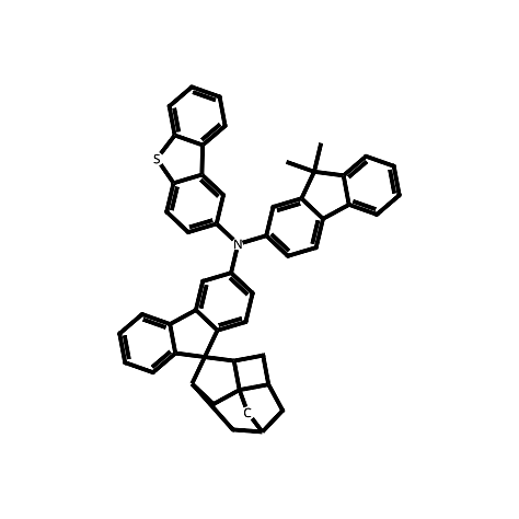 CC1(C)c2ccccc2-c2ccc(N(c3ccc4c(c3)-c3ccccc3C43C4CC5CC6CC3C6(C5)C4)c3ccc4sc5ccccc5c4c3)cc21